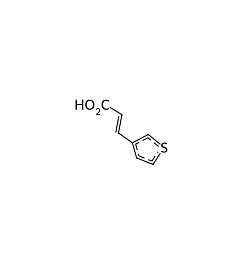 O=C(O)C=Cc1ccsc1